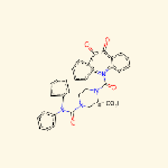 O=C(O)[C@@H]1CN(C(=O)N(c2ccccc2)c2ccccc2)CCN1C(=O)n1c2ccccc2c(=O)c(=O)c2ccccc21